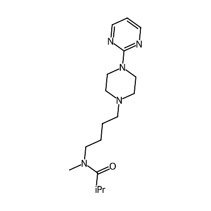 CC(C)C(=O)N(C)CCCCN1CCN(c2ncccn2)CC1